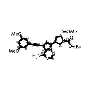 COC[C@H]1CC(c2cc(C#Cc3cc(OC)cc(OC)c3)c3c(N)ncnn23)CN1C(=O)OC(C)(C)C